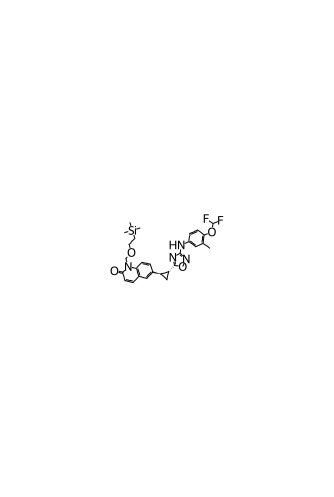 Cc1cc(Nc2noc([C@@H]3C[C@H]3c3ccc4c(ccc(=O)n4COCC[Si](C)(C)C)c3)n2)ccc1OC(F)F